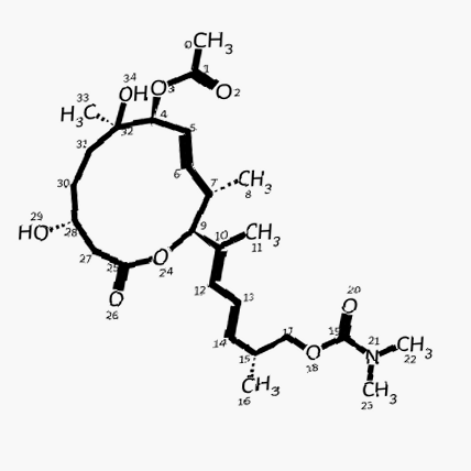 CC(=O)O[C@H]1/C=C/[C@H](C)[C@@H](/C(C)=C/C=C/[C@@H](C)COC(=O)N(C)C)OC(=O)C[C@H](O)CC[C@@]1(C)O